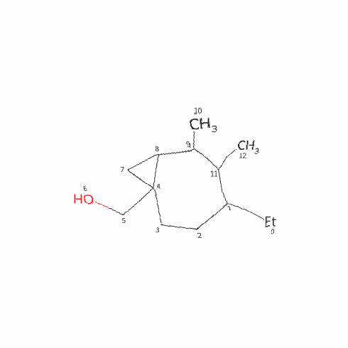 CCC1CCC2(CO)CC2C(C)C1C